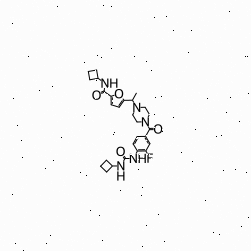 CC(c1ccc(C(=O)NC2CCC2)o1)N1CCN(C(=O)c2ccc(NC(=O)NC3CCC3)c(F)c2)CC1